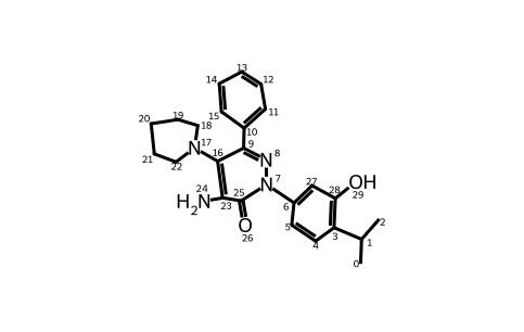 CC(C)c1ccc(-n2nc(-c3ccccc3)c(N3CCCCC3)c(N)c2=O)cc1O